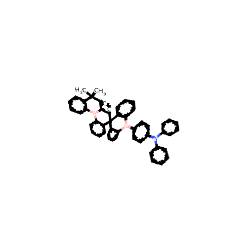 CC1(C)c2ccccc2B2c3ccccc3C3(c4ccccc4B(c4ccc(N(c5ccccc5)c5ccccc5)cc4)c4ccccc43)c3cccc1c32